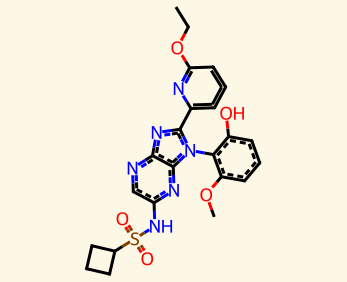 CCOC1=NC(c2nc3ncc(NS(=O)(=O)C4CCC4)nc3n2-c2c(O)cccc2OC)=C=C=C1